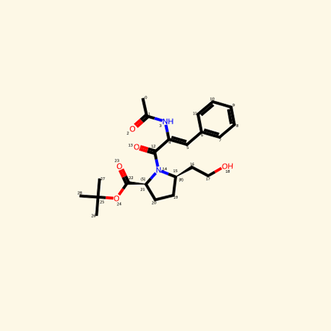 CC(=O)NC(=Cc1ccccc1)C(=O)N1[C@@H](CCO)CC[C@H]1C(=O)OC(C)(C)C